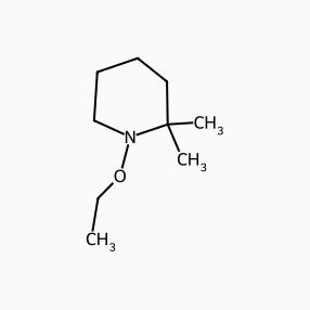 CCON1CCCCC1(C)C